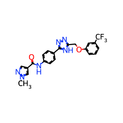 Cn1cc(C(=O)Nc2ccc(-c3nnc(COc4cccc(C(F)(F)F)c4)[nH]3)cc2)cn1